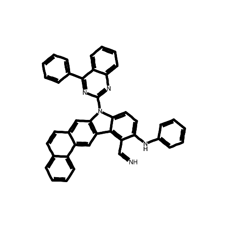 N=Cc1c(Nc2ccccc2)ccc2c1c1cc3c(ccc4ccccc43)cc1n2-c1nc(-c2ccccc2)c2ccccc2n1